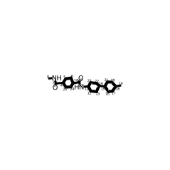 CNC(=O)c1ccc(C(=O)Nc2ccc(-c3ccc(C)cc3)cc2)cc1